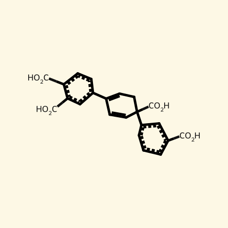 O=C(O)c1cccc(C2(C(=O)O)C=CC(c3ccc(C(=O)O)c(C(=O)O)c3)=CC2)c1